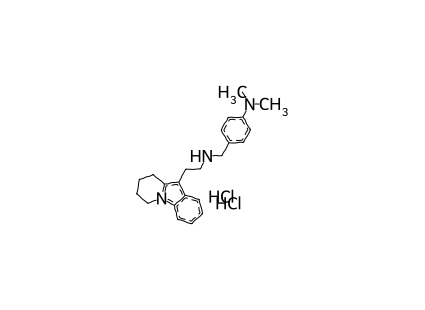 CN(C)c1ccc(CNCCc2c3n(c4ccccc24)CCCC3)cc1.Cl.Cl